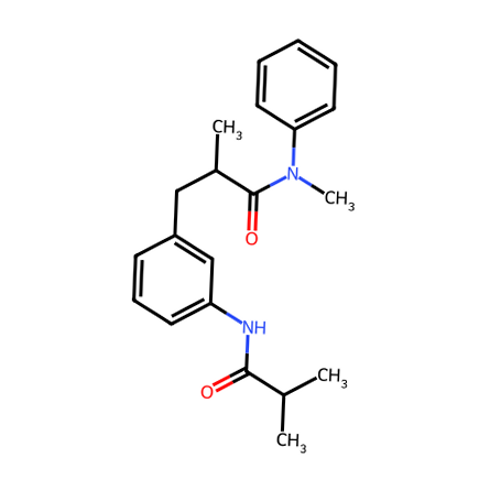 CC(C)C(=O)Nc1cccc(CC(C)C(=O)N(C)c2ccccc2)c1